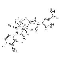 Cc1ccc(N2C(=O)[C@@H]3[C@H](C2=O)[C@@]2(C)C[C@@H](NC(=O)c4cc(C(C)O)[nH]n4)[C@]3(C)O2)c(F)c1C(F)(F)F